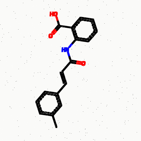 Cc1cccc(/C=C/C(=O)Nc2ccccc2C(=O)O)c1